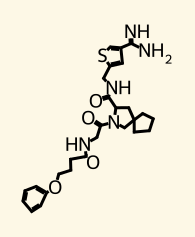 N=C(N)c1csc(CNC(=O)C2CC3(CCCC3)CN2C(=O)CNC(=O)CCCOc2ccccc2)c1